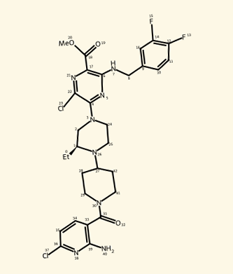 CC[C@H]1CN(c2nc(NCc3ccc(F)c(F)c3)c(C(=O)OC)nc2Cl)CCN1C1CCN(C(=O)c2ccc(Cl)nc2N)CC1